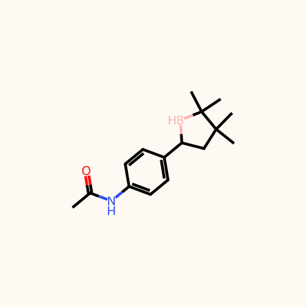 CC(=O)Nc1ccc(C2BC(C)(C)C(C)(C)C2)cc1